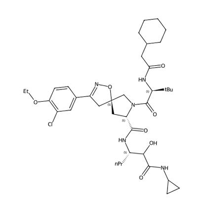 CCC[C@H](NC(=O)[C@@H]1C[C@]2(CC(c3ccc(OCC)c(Cl)c3)=NO2)CN1C(=O)[C@@H](NC(=O)CC1CCCCC1)C(C)(C)C)C(O)C(=O)NC1CC1